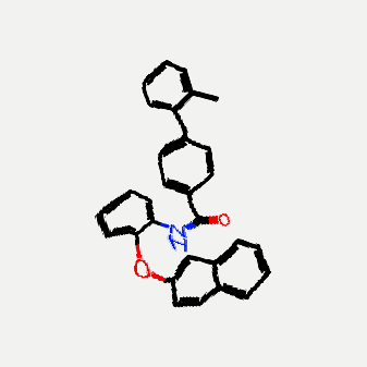 Cc1ccccc1-c1ccc(C(=O)Nc2ccccc2Oc2ccc3ccccc3c2)cc1